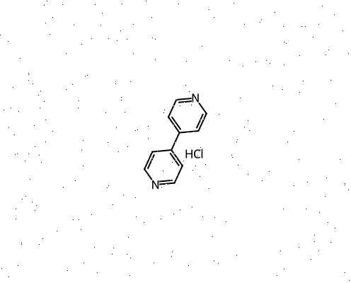 Cl.c1cc(-c2ccncc2)ccn1